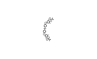 C=C(C)C(=O)Oc1c(C)cc(Oc2ccc(C(C)(C)c3ccc(Oc4cc(C)c(OC(=O)C(=C)C)c(C)c4)cc3)cc2)cc1C